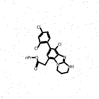 CCCOC(=O)Cc1cc(-c2ccc(Cl)cc2Cl)c(Cl)c2nc3n(c12)CCCN3